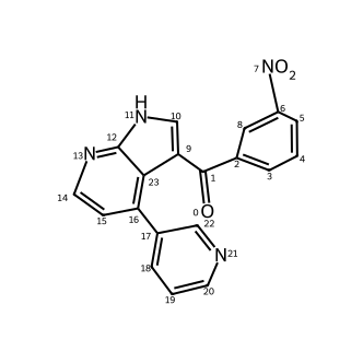 O=C(c1cccc([N+](=O)[O-])c1)c1c[nH]c2nccc(-c3cccnc3)c12